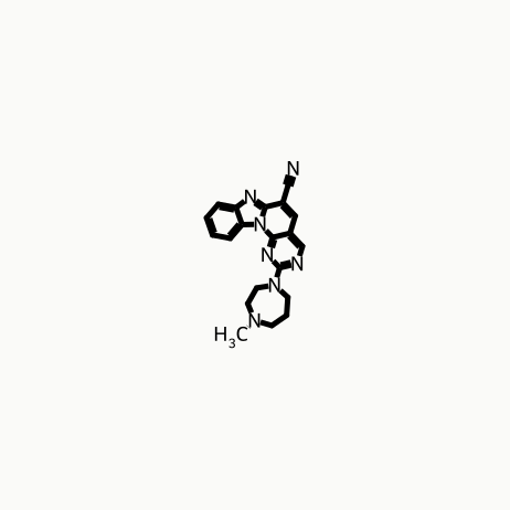 CN1CCCN(c2ncc3cc(C#N)c4nc5ccccc5n4c3n2)CC1